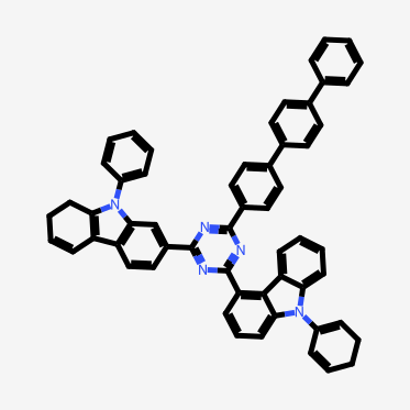 C1=CC(n2c3ccccc3c3c(-c4nc(-c5ccc(-c6ccc(-c7ccccc7)cc6)cc5)nc(-c5ccc6c7c(n(-c8ccccc8)c6c5)CCC=C7)n4)cccc32)=CCC1